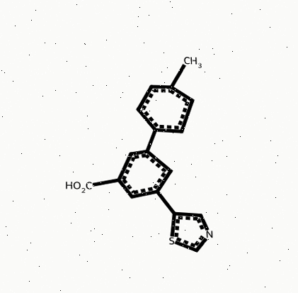 Cc1ccc(-c2cc(C(=O)O)cc(-c3cncs3)c2)cc1